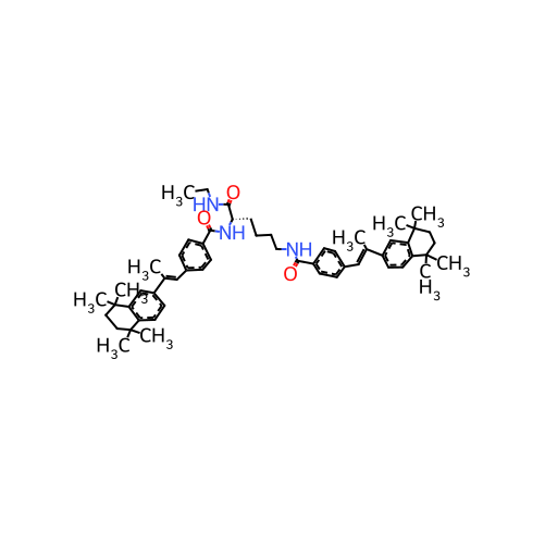 CCNC(=O)[C@H](CCCCNC(=O)c1ccc(/C=C(\C)c2ccc3c(c2)C(C)(C)CCC3(C)C)cc1)NC(=O)c1ccc(/C=C(\C)c2ccc3c(c2)C(C)(C)CCC3(C)C)cc1